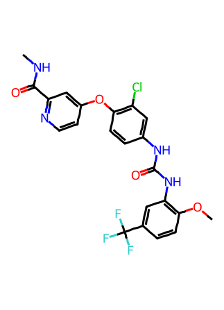 CNC(=O)c1cc(Oc2ccc(NC(=O)Nc3cc(C(F)(F)F)ccc3OC)cc2Cl)ccn1